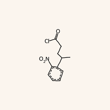 CC(CCC(=O)Cl)c1ccccc1[N+](=O)[O-]